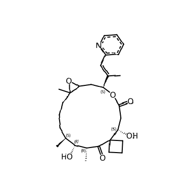 CC(=Cc1ccccn1)[C@@H]1CC2OC2(C)CCC[C@H](C)[C@@H](O)[C@@H](C)C(=O)C2(CCC2)[C@@H](O)CC(=O)O1